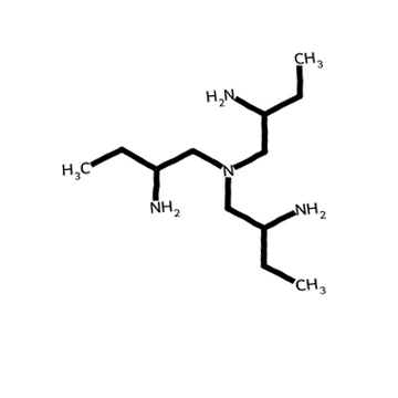 CCC(N)CN(CC(N)CC)CC(N)CC